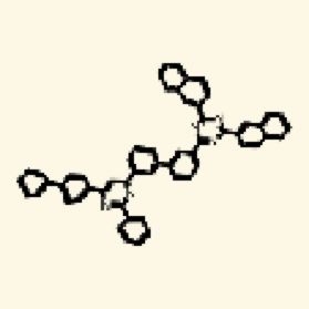 c1ccc(-c2ccc(-c3cc(-c4cccc(-c5cccc(-c6nc(-c7ccc8ccccc8c7)nc(-c7ccc8ccccc8c7)n6)c5)c4)nc(-c4ccccc4)n3)cc2)cc1